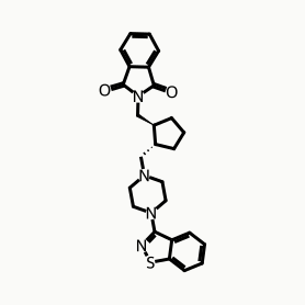 O=C1c2ccccc2C(=O)N1C[C@H]1CCC[C@@H]1CN1CCN(c2nsc3ccccc23)CC1